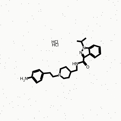 CC(C)n1nc(C(=O)NCC2CCN(CCc3ccc(N)cc3)CC2)c2ccccc21.Cl.Cl